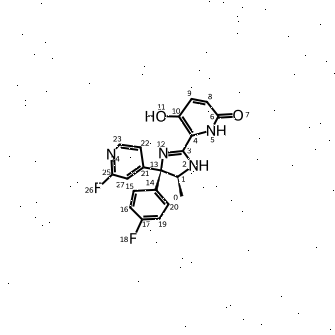 C[C@@H]1NC(c2[nH]c(=O)ccc2O)=N[C@@]1(c1ccc(F)cc1)c1ccnc(F)c1